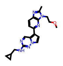 COCCn1c(C)nc2ccc(-c3ccn4nc(NCC5CC5)ncc34)nc21